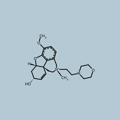 COc1ccc2c3c1O[C@H]1C[C@@H](O)C=C[C@@]31CC[N+](C)(CCN1CCOCC1)C2